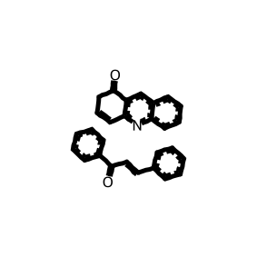 O=C(C=Cc1ccccc1)c1ccccc1.O=C1CC=Cc2nc3ccccc3cc21